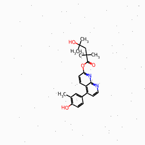 Cc1cc(-c2ccnc3nc(OC(=O)C(C)(C)CC(C)(C)O)ccc23)ccc1O